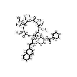 CC[C@H]1OC(=O)[C@H](C)C(=O)[C@H](C)[C@@H](O[C@@H]2O[C@H](C)CC[C@H]2OC(=O)c2ccccc2)[C@](C)(OC/C=C/c2cnc3ccccc3c2)CCC(=O)[C@H](C)C[C@]1(C)OC=O